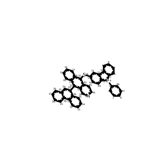 c1ccc(-p2c3ccccc3c3cc(Sc4c5ccccc5c(-c5cc6ccccc6c6ccccc56)c5cnccc45)ccc32)cc1